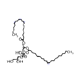 CCCCC/C=C\C/C=C\C/C=C\CCCCCCC(=O)OC[C@H](COP(=O)(O)OC[C@@H](O)CO)OC(=O)CCCCCCCCC/C=C\CCCCCCCCCC